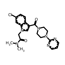 CN(C)C(=O)Cn1cc(C(=O)N2CCN(c3ncccn3)CC2)c2ccc(Cl)cc21